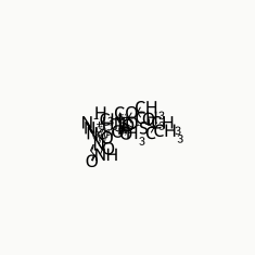 CC[C@H]1[C@@H](N=[N+]=[N-])[C@H](n2ccc(=O)[nH]c2=O)O[C@@H]1CO[P@](=O)(N[C@@H](C)C(=O)OC(C)C)OCCSC(=O)C(C)(C)C